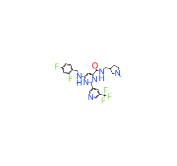 CN1CCC(CNC(=O)c2cc(NCc3ccc(F)cc3F)nc(-c3cncc(C(F)(F)F)c3)n2)C1